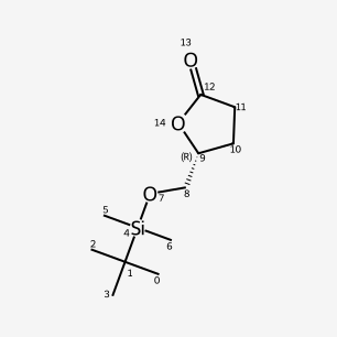 CC(C)(C)[Si](C)(C)OC[C@H]1CCC(=O)O1